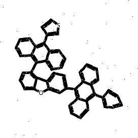 c1ccc(-c2c3ccccc3c(-c3ccc4c(c3)oc3cccc(-c5c6ccccc6c(-c6ccsc6)c6ccccc56)c34)c3ccccc23)cc1